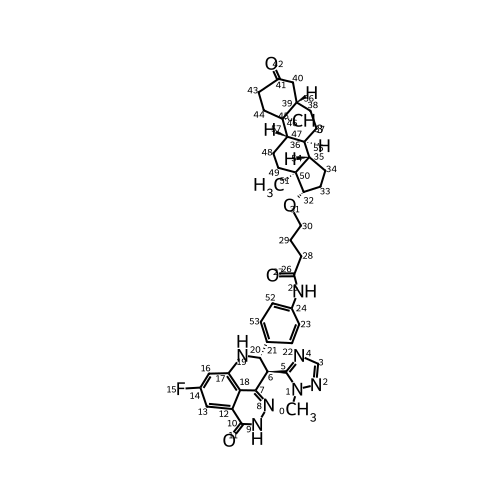 Cn1ncnc1[C@H]1c2n[nH]c(=O)c3cc(F)cc(c23)N[C@@H]1c1ccc(NC(=O)CCCO[C@H]2CC[C@H]3[C@@H]4CC[C@H]5CC(=O)CC[C@]5(C)[C@H]4CC[C@]23C)cc1